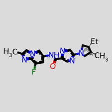 CC[C@H]1CN(c2cnc(C(=O)Nc3cc(F)c4nc(C)cn4c3)cn2)C[C@H]1C